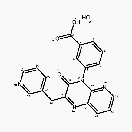 Cl.O=C(O)c1cccc(-n2c(=O)c(Cc3cccnc3)nc3cccnc32)c1